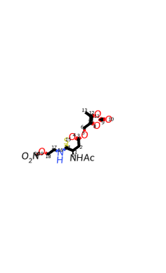 CC(=O)N[C@H](CC(=O)OCc1oc(=O)oc1C)C(=S)NCCO[N+](=O)[O-]